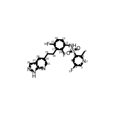 Cc1ncc(F)cc1S(=O)(=O)Nc1ccc(F)c(CCc2cnc3[nH]ncc3c2)c1F